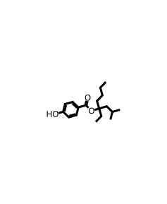 CCCCC(CC)(CC(C)C)OC(=O)c1ccc(O)cc1